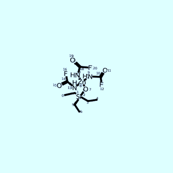 CC[Si](CC)(CC)[O][Zn]([NH]C(=O)F)([NH]C(=O)F)[NH]C(=O)F